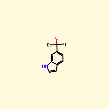 CCC(O)(CC)c1ccc2cc[nH]c2c1